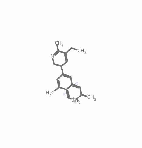 C/C=c1/c(C)cc(C2C=C(CC)C(C)=NC2)c/c1=C/C(C)C